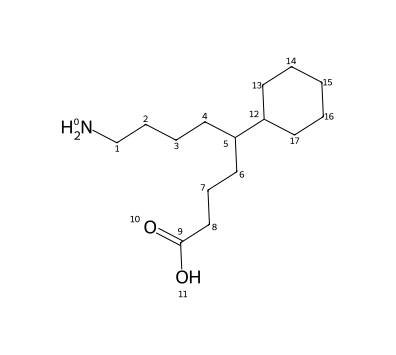 NCCCCC(CCCC(=O)O)C1CCCCC1